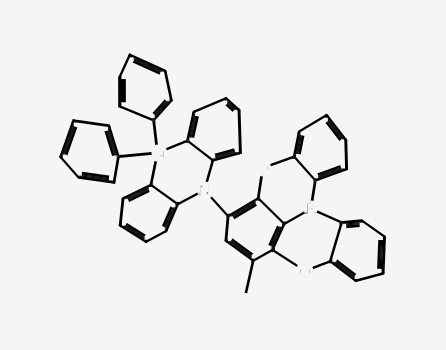 Cc1cc(N2c3ccccc3[Si](c3ccccc3)(c3ccccc3)c3ccccc32)c2c3c1Oc1ccccc1B3c1ccccc1O2